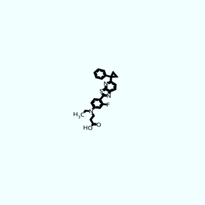 CCN(CCC(=O)O)c1ccc(-c2nc3ccc(C4(c5ccccc5)CC4)nc3s2)c(F)c1